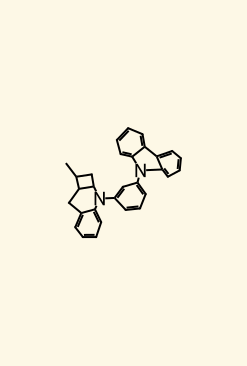 CC1CC2C1Cc1ccccc1N2c1cccc(-n2c3ccccc3c3ccccc32)c1